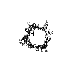 C/C=C(\C)[C@H]1OC(=O)[C@H](C)N(C)C(=O)C(C(C)CC)NC(=O)CN(C)C(=O)[C@@H](Cc2ccccc2)N(C)C(=O)[C@H](C)NC(=O)[C@@H](CC(C)C)OC(=O)/C(C)=C/C[C@H](OCSC)[C@H]1C